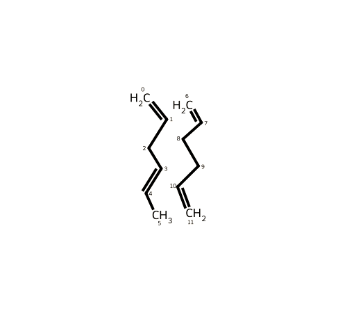 C=CC/C=C/C.C=CCCC=C